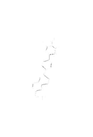 CCCCCCCc1ccc2c(F)c(-c3ccc(-c4cc(F)c(Cl)c(F)c4)c(F)c3)ccc2c1